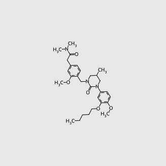 CCCCCOc1cc(N2CC(C)CN(Cc3ccc(CC(=O)N(C)C)cc3OC)C2=O)ccc1OC